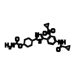 NC(=O)OC1CCC(c2ncc(-c3ccc(NC(=O)C4CC4)cc3S(=O)(=O)C3CC3)s2)CC1